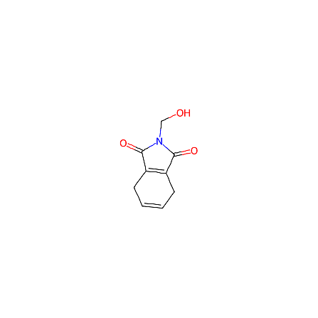 O=C1C2=C(CC=CC2)C(=O)N1CO